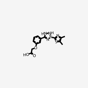 Cc1nc(N2N=C(c3cccc(OCC(=O)O)c3)NN2)sc1C